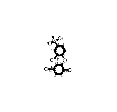 CS(=O)(=O)c1ccc(Oc2cc(Cl)ccc2[O])c(Cl)c1